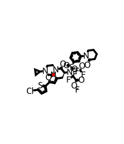 O=C([C@H](Cc1cc(-c2ccc(Cl)s2)on1)N(C(F)(F)C(=O)OF)S(=O)(=O)c1cccc(N2CCCCC2=O)c1OC(F)F)N1CCN(C2CC2)CC1